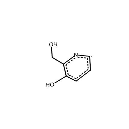 OCc1n[c]ccc1O